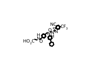 N#Cc1cc(C(F)(F)F)cc2nc(NC(=O)N(Cc3ccc(C(=O)NCCC(=O)O)cc3)c3ccc(C4=CCCCC4)cc3)sc12